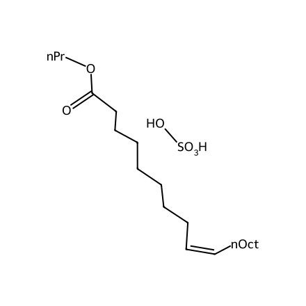 CCCCCCCC/C=C\CCCCCCCC(=O)OCCC.O=S(=O)(O)O